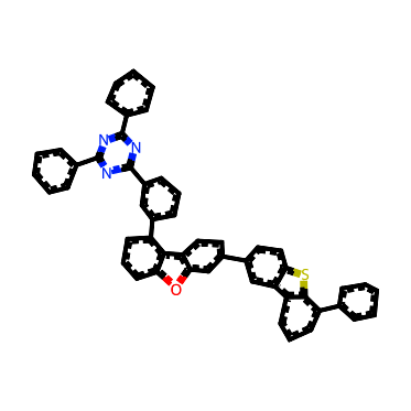 c1ccc(-c2nc(-c3ccccc3)nc(-c3cccc(-c4cccc5oc6cc(-c7ccc8sc9c(-c%10ccccc%10)cccc9c8c7)ccc6c45)c3)n2)cc1